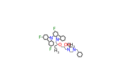 CC(Cn1c2ccccc2c2cc(F)cc(-n3c4ccc(F)cc4c4cc(F)ccc43)c21)OCC(O)CN1CCN(Cc2ccccc2)C[C@@H]1C